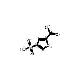 O=C(Cl)c1cc(S(=O)(=O)O)co1